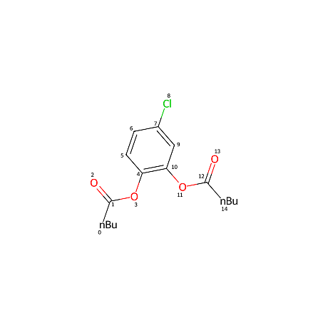 CCCCC(=O)Oc1ccc(Cl)cc1OC(=O)CCCC